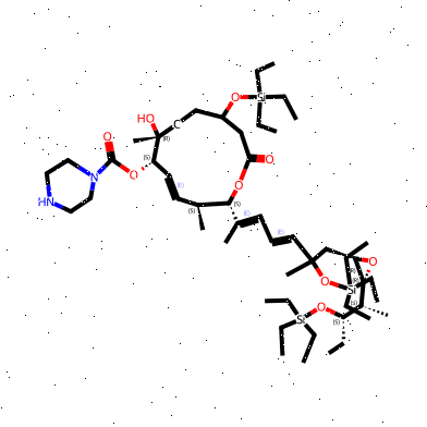 CC[C@H](O[Si](CC)(CC)CC)[C@@H](C)[C@H]1O[C@@H]1CC(C)(/C=C/C=C(\C)[C@H]1OC(=O)CC(O[Si](CC)(CC)CC)CC[C@@](C)(O)[C@@H](OC(=O)N2CCNCC2)/C=C/[C@@H]1C)O[Si](CC)(CC)CC